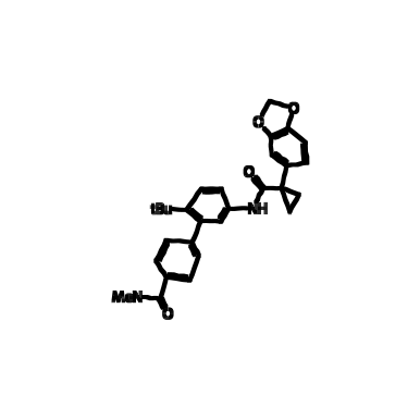 CNC(=O)c1ccc(-c2cc(NC(=O)C3(c4ccc5c(c4)OCO5)CC3)ccc2C(C)(C)C)cc1